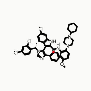 COc1ccc(N2CCN(C3CCCCC3)CC2)c(NC(=O)c2[nH]c3cc(Cl)ccc3c2-c2c(-c3ccccc3)ncn2[C@@H](C)c2ccc(Cl)cc2Cl)c1